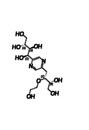 OCCO[C@H](Cc1cnc([C@@H](O)[C@H](O)[C@H](O)CO)cn1)[C@H](O)CO